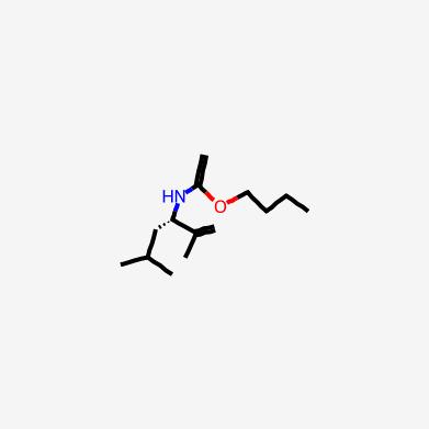 C=C(N[C@@H](CC(C)C)C(=C)C)OCCCC